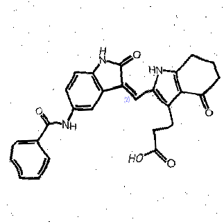 O=C(O)CCc1c(/C=C2\C(=O)Nc3ccc(NC(=O)c4ccccc4)cc32)[nH]c2c1C(=O)CCC2